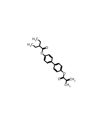 C=C(C)C(=O)Oc1ccc(-c2ccc(OC(=O)C(CC)CC)cc2)cc1